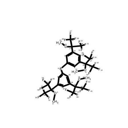 COC(c1cc([B]c2cc(C(OC)(C(F)(F)F)C(F)(F)F)cc(C(OC)(C(F)(F)F)C(F)(F)F)c2)cc(C(OC)(C(F)(F)F)C(F)(F)F)c1)(C(F)(F)F)C(F)(F)F